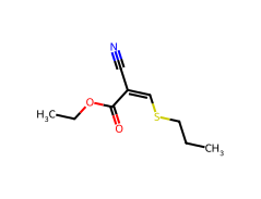 CCCSC=C(C#N)C(=O)OCC